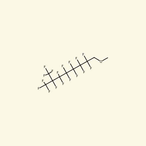 COCC(F)(F)C(F)(F)C(F)(F)C(F)(F)C(F)(F)C(F)(C(F)(F)F)C(F)(F)F